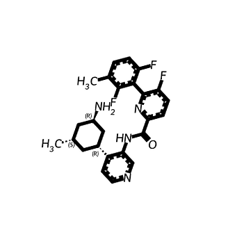 Cc1ccc(F)c(-c2nc(C(=O)Nc3cnccc3[C@@H]3C[C@H](C)C[C@@H](N)C3)ccc2F)c1F